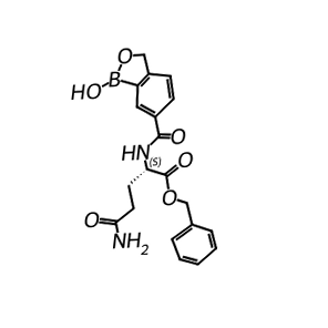 NC(=O)CC[C@H](NC(=O)c1ccc2c(c1)B(O)OC2)C(=O)OCc1ccccc1